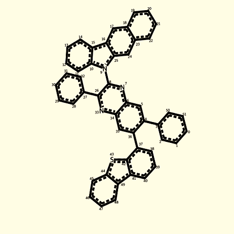 c1ccc(-c2cc3nc(-n4c5ccccc5c5cc6ccccc6cc54)c(-c4ccccc4)nc3cc2-c2cccc3c2sc2ccccc23)cc1